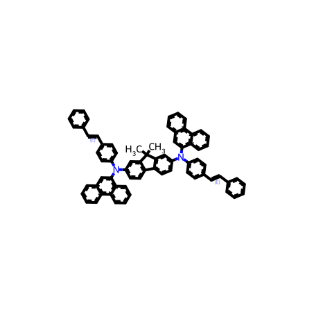 CC1(C)c2cc(N(c3ccc(/C=C/c4ccccc4)cc3)c3cc4ccccc4c4ccccc34)ccc2-c2ccc(N(c3ccc(/C=C/c4ccccc4)cc3)c3cc4ccccc4c4ccccc34)cc21